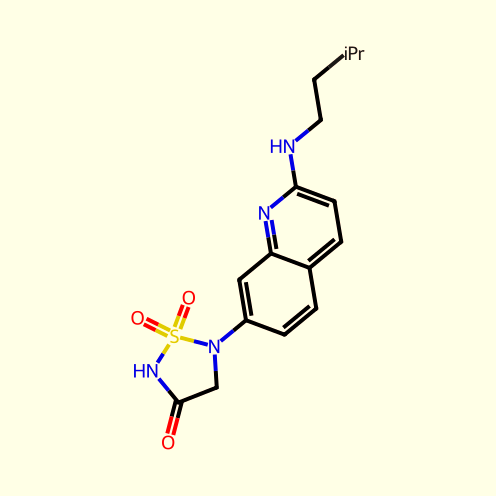 CC(C)CCNc1ccc2ccc(N3CC(=O)NS3(=O)=O)cc2n1